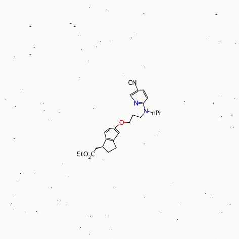 [C-]#[N+]c1ccc(N(CCC)CCCOc2ccc3c(c2)CC[C@H]3CC(=O)OCC)nc1